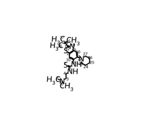 CN(C)CCNC(=S)Nc1cc2sc(C(C)(C)C)nc2cc1N1CCCCC1